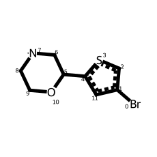 Brc1csc(C2C[N]CCO2)c1